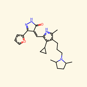 Cc1[nH]c(C=C2C(=O)NN=C2c2ccco2)c(C2CC2)c1CCCN1C(C)CCC1C